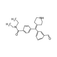 CCN(CC)C(=O)c1ccc(C(=C2CCNCC2)c2cccc(C=O)c2)cc1